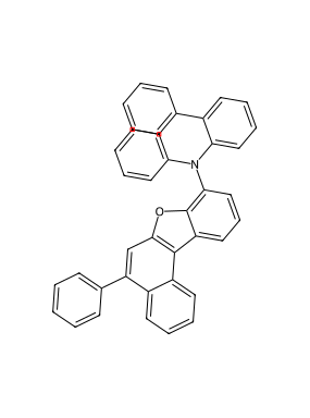 c1ccc(-c2ccccc2N(c2ccccc2)c2cccc3c2oc2cc(-c4ccccc4)c4ccccc4c23)cc1